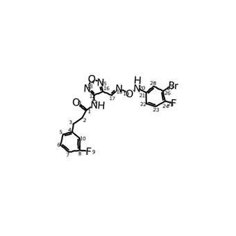 O=C(CCc1cccc(F)c1)Nc1nonc1/C=N/ONc1ccc(F)c(Br)c1